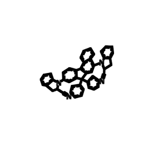 N#CC1Cc2ccccc2N1c1ccc2c(c1)C(c1ccccc1)(c1ccccc1)c1cc(N3c4ccccc4CC3C#N)c3ccccc3c1-2